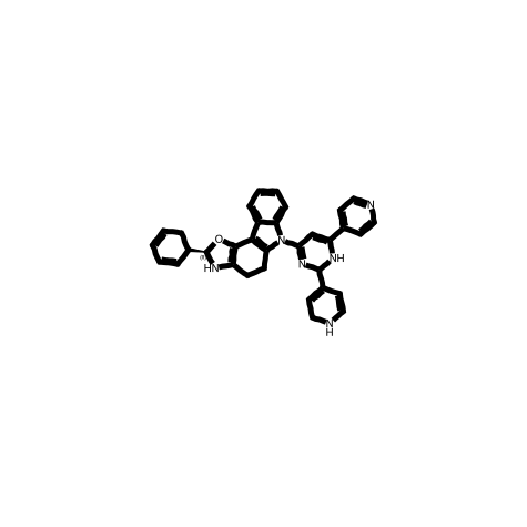 C1=CCC([C@@H]2NC3=C(O2)c2c(n(C4=NC(C5=CCNC=C5)NC(c5ccncc5)=C4)c4ccccc24)CC3)C=C1